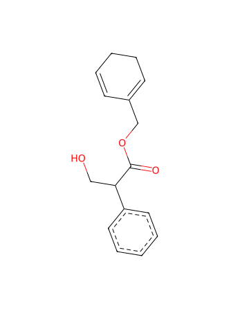 O=C(OCC1=CCCC=C1)C(CO)c1ccccc1